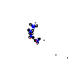 c1ccc(-c2nc(-c3ccccc3)nc(-c3ccc(-c4ccc(-n5c6ccccc6c6cc(-c7ccc8c9ccccc9n(-c9ccccc9)c8c7)ccc65)cc4)c(-n4c5ccccc5c5ccccc54)c3)n2)cc1